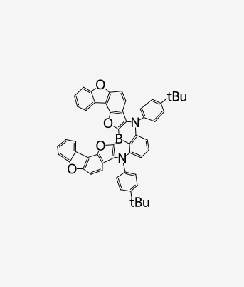 CC(C)(C)c1ccc(N2c3cccc4c3B(c3oc5c(ccc6oc7ccccc7c65)c32)c2oc3c(ccc5oc6ccccc6c53)c2N4c2ccc(C(C)(C)C)cc2)cc1